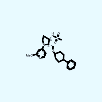 COc1cc(N2CC[C@H](NS(C)(=O)=O)[C@@H]2COC2CCC(c3ccccc3)CC2)ccn1